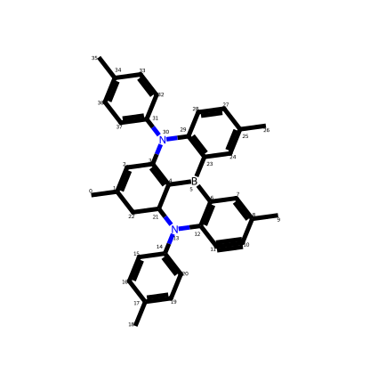 CC1=CC2=C3B(c4cc(C)c#cc4N(c4ccc(C)cc4)C3C1)c1cc(C)ccc1N2c1ccc(C)cc1